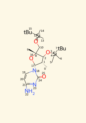 C[C@H]1C(O[Si](C)(C)C(C)(C)C)[C@@](C)(CO[Si](C)(C)C(C)(C)C)O[C@H]1n1ccc(N)nc1=O